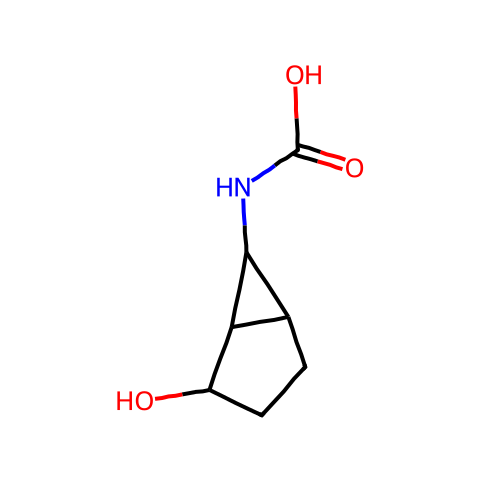 O=C(O)NC1C2CCC(O)C21